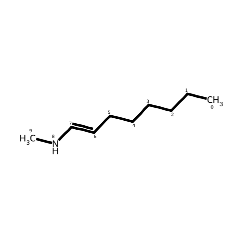 CCCCCC/C=C/NC